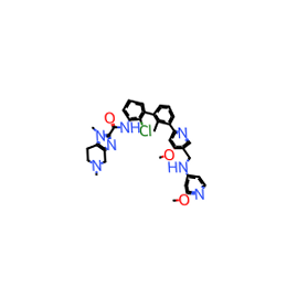 COc1cc(NCc2cnc(-c3cccc(-c4cccc(NC(=O)c5nc6c(n5C)CCN(C)C6)c4Cl)c3C)cc2OC)ccn1